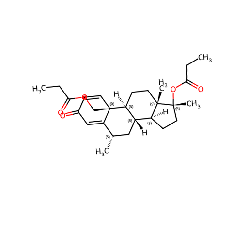 CCC(=O)OC[C@]12C=CC(=O)C=C1[C@@H](C)C[C@H]1[C@@H]3CC[C@@](C)(OC(=O)CC)[C@@]3(C)CC[C@@H]12